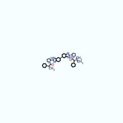 C[C@@H](C(=O)N1CCC[C@H]1c1nc2ccc(-c3ccc4nc([C@@H]5CCCN5C(=O)[C@@H](c5ccccc5)N(C)C)[nH]c4c3)cc2[nH]1)c1ccccc1